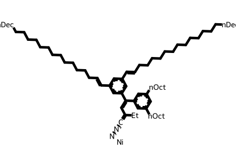 CCCCCCCCCCCCCCCCCCCCCCCC=Cc1cc(C=CCCCCCCCCCCCCCCCCCCCCCCC)cc(C(=CC(=C=[N+]=[N-])CC)c2cc(CCCCCCCC)cc(CCCCCCCC)c2)c1.[Ni]